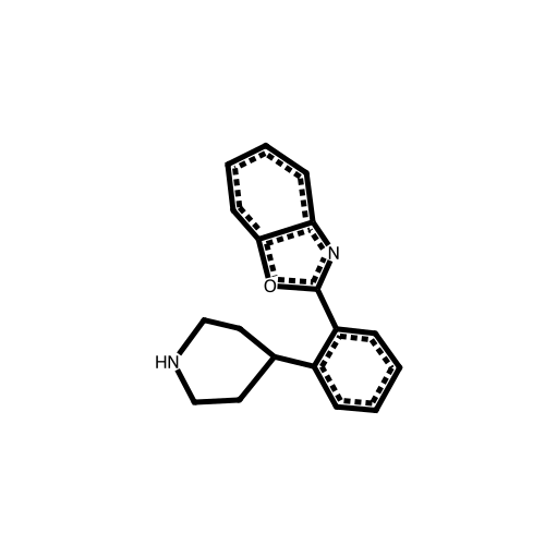 c1ccc(C2CCNCC2)c(-c2nc3ccccc3o2)c1